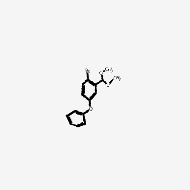 COC(OC)c1cc(Oc2ccccc2)ccc1Br